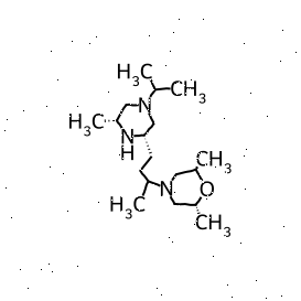 CC(C)N1C[C@H](CCC(C)N2C[C@@H](C)O[C@@H](C)C2)N[C@H](C)C1